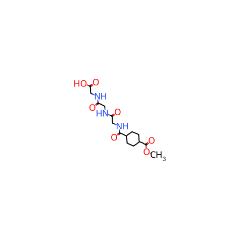 COC(=O)C1CCC(C(=O)NCC(=O)NCC(=O)NCC(=O)O)CC1